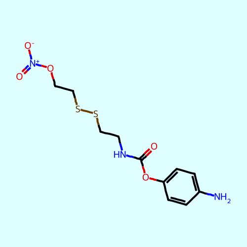 Nc1ccc(OC(=O)NCCSSCCO[N+](=O)[O-])cc1